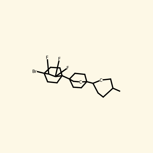 CC1CCC(C23CCC(C45CCC(Br)(CC4)C(F)C5(F)F)(CC2)CC3)CC1